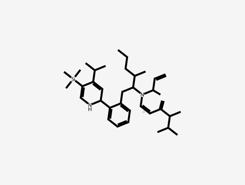 C=CC(C)N(/C=C\C(=C)C(C)C(C)C)C(Cc1ccccc1C1C=C(C(C)C)C([Si](C)(C)C)=CN1)C(C)CCC